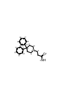 [NH]C(=O)CCN1CCC(c2ccccc2)(c2ccccc2)CC1